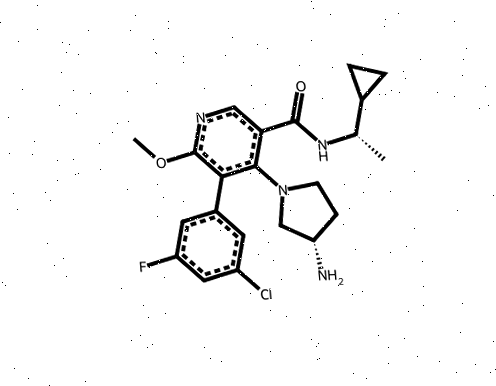 COc1ncc(C(=O)N[C@@H](C)C2CC2)c(N2CC[C@H](N)C2)c1-c1cc(F)cc(Cl)c1